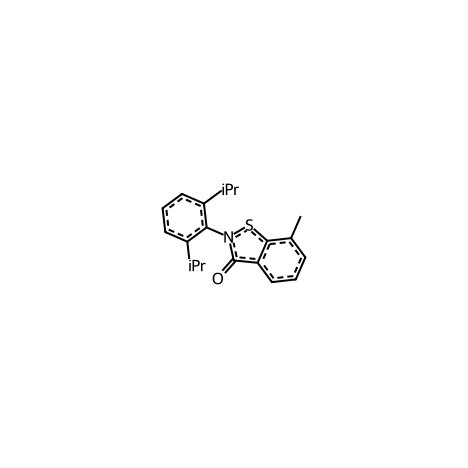 Cc1cccc2c(=O)n(-c3c(C(C)C)cccc3C(C)C)sc12